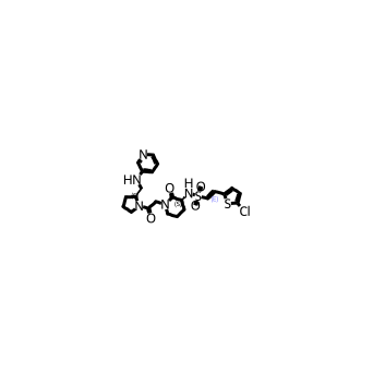 O=C1[C@@H](NS(=O)(=O)/C=C/c2ccc(Cl)s2)CCCN1CC(=O)N1CCC[C@H]1CNc1cccnc1